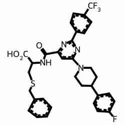 O=C(NC(CSCc1ccccc1)C(=O)O)c1cc(N2CCC(c3ccc(F)cc3)CC2)nc(-c2ccc(C(F)(F)F)cc2)n1